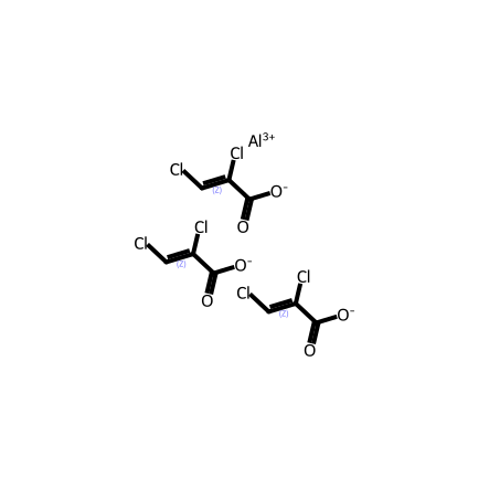 O=C([O-])/C(Cl)=C/Cl.O=C([O-])/C(Cl)=C/Cl.O=C([O-])/C(Cl)=C/Cl.[Al+3]